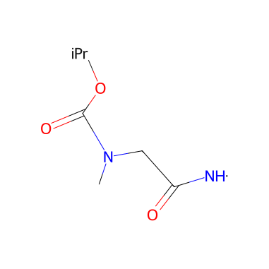 CC(C)OC(=O)N(C)CC([NH])=O